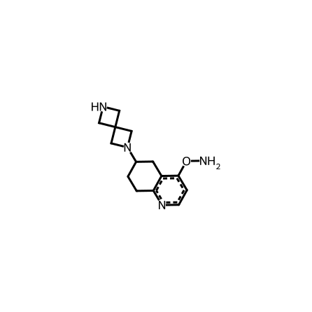 NOc1ccnc2c1CC(N1CC3(CNC3)C1)CC2